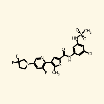 Cc1sc(C(=O)Nc2cc(Cl)cc(NS(C)(=O)=O)c2)cc1-c1ncc(N2CCC(F)(F)C2)cc1F